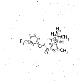 Cc1sc(C(=O)COc2cccc(C(F)(F)F)c2)c2c1[C@H]1[C@@H](C2)C1(C)C